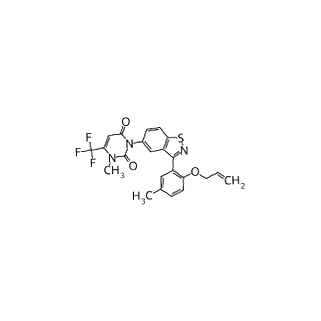 C=CCOc1ccc(C)cc1-c1nsc2ccc(-n3c(=O)cc(C(F)(F)F)n(C)c3=O)cc12